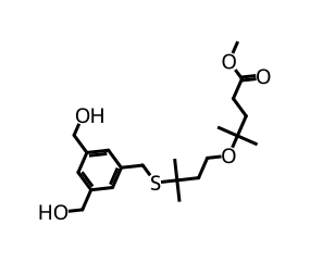 COC(=O)CCC(C)(C)OCCC(C)(C)SCc1cc(CO)cc(CO)c1